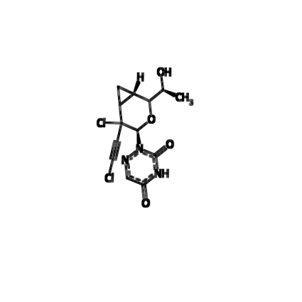 C[C@H](O)C1O[C@@H](n2ncc(=O)[nH]c2=O)C(Cl)(C#CCl)C2C[C@H]12